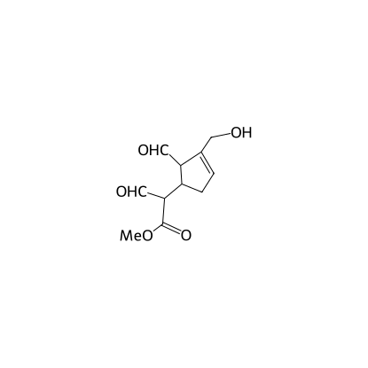 COC(=O)C(C=O)C1CC=C(CO)C1C=O